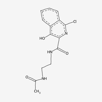 CC(=O)NCCNC(=O)c1nc(Cl)c2ccccc2c1O